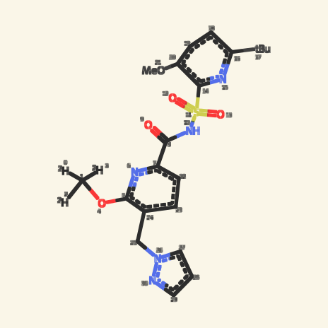 [2H]C([2H])([2H])Oc1nc(C(=O)NS(=O)(=O)c2nc(C(C)(C)C)ccc2OC)ccc1Cn1cccn1